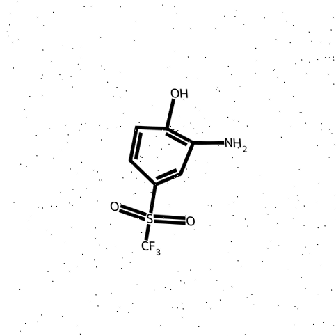 Nc1cc(S(=O)(=O)C(F)(F)F)ccc1O